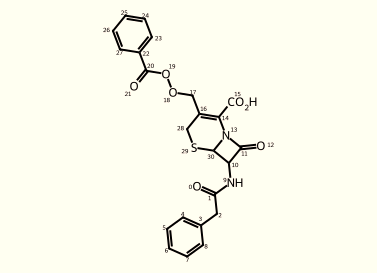 O=C(Cc1ccccc1)NC1C(=O)N2C(C(=O)O)=C(COOC(=O)c3ccccc3)CSC12